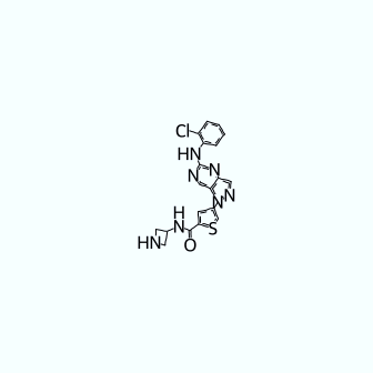 O=C(NC1CNC1)c1cc(-n2ncc3nc(Nc4ccccc4Cl)ncc32)cs1